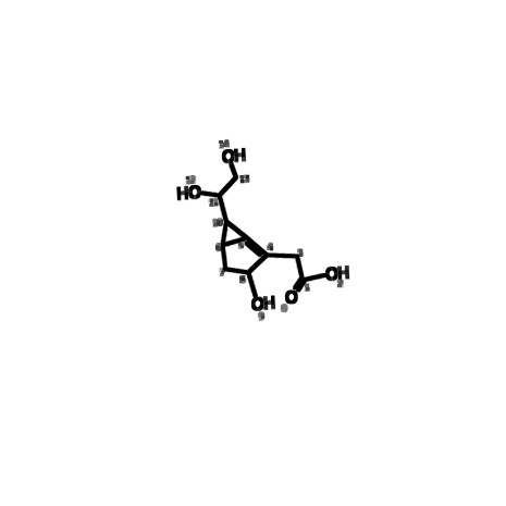 O=C(O)CC1=C2C(CC1O)C2C(O)CO